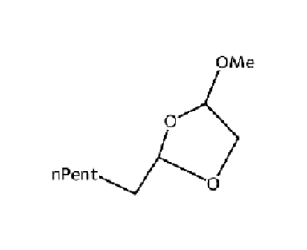 CCCCCCC1OCC(OC)O1